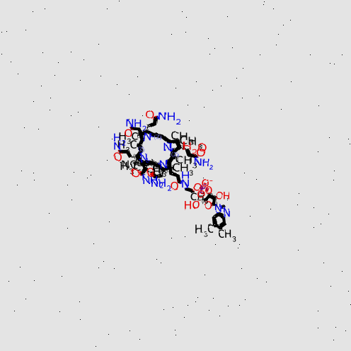 C/C1=C2N=C(/C=C3N=C(/C(C)=C4/[C@@H](CCC(N)=O)[C@](C)(CC(N)=O)[C@](C)([C@@H]5N=C1[C@](C)(CCC(=O)NCC(C)OP(=O)([O-])O[C@H]1[C@@H](O)[C@@H](n6cnc7cc(C)c(C)cc76)O[C@@H]1CO)[C@H]5CC(N)=O)[N]4[Co+][C]#N)[C@@](C)(CC(N)=O)[C@@H]\3CCC(N)=O)C(C)(C)[C@@H]/2CCC(N)=O.O